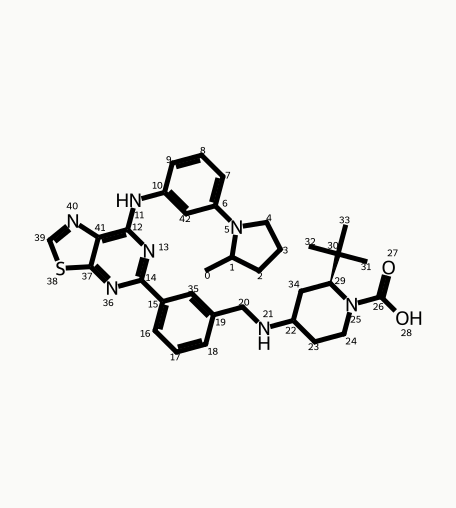 CC1CCCN1c1cccc(Nc2nc(-c3cccc(CNC4CCN(C(=O)O)[C@H](C(C)(C)C)C4)c3)nc3scnc23)c1